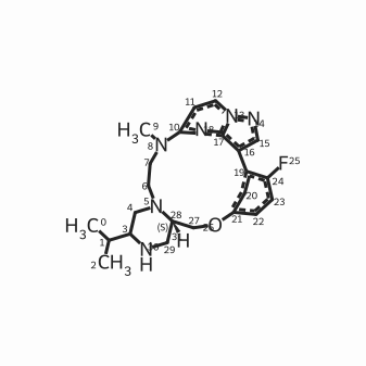 CC(C)C1CN2CCN(C)c3ccn4ncc(c4n3)-c3cc(ccc3F)OC[C@@H]2CN1